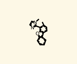 Cc1ccc2c(oc3ccccc32)c1-c1nccn1C